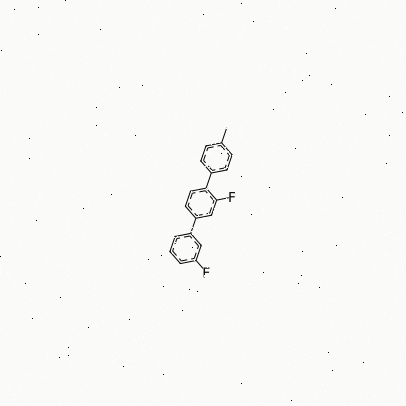 Cc1ccc(-c2ccc(-c3cccc(F)c3)cc2F)cc1